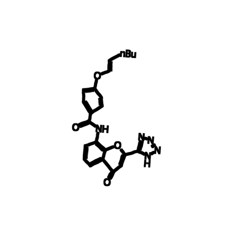 CCCCC=COc1ccc(C(=O)Nc2cccc3c(=O)cc(-c4nnn[nH]4)oc23)cc1